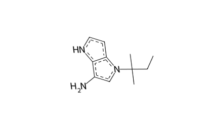 CCC(C)(C)n1cc(N)c2[nH]ccc21